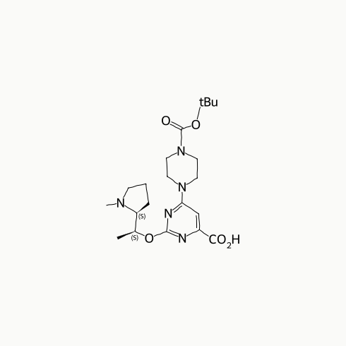 C[C@H](Oc1nc(C(=O)O)cc(N2CCN(C(=O)OC(C)(C)C)CC2)n1)[C@@H]1CCCN1C